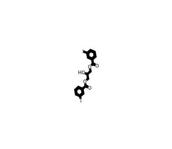 O=C(OCC(O)COC(=O)c1cccc(I)c1)c1cccc(I)c1